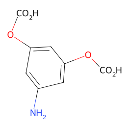 Nc1cc(OC(=O)O)cc(OC(=O)O)c1